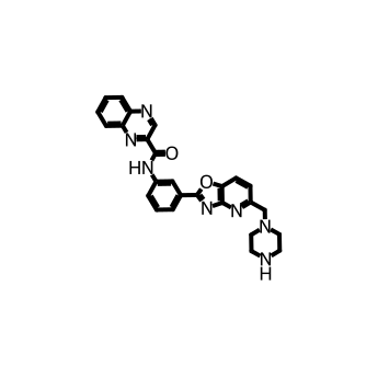 O=C(Nc1cccc(-c2nc3nc(CN4CCNCC4)ccc3o2)c1)c1cnc2ccccc2n1